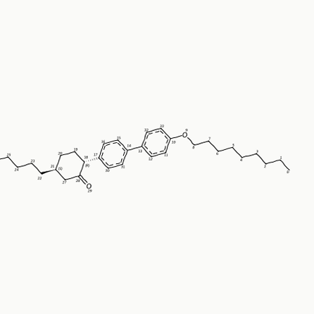 CCCCCCCCCOc1ccc(-c2ccc([C@H]3CC[C@H](CCCCC)CC3=O)cc2)cc1